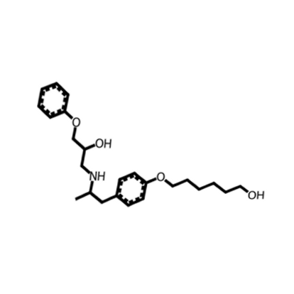 CC(Cc1ccc(OCCCCCCO)cc1)NCC(O)COc1ccccc1